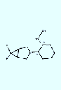 CC(C)N[C@@H]1CCCC[C@H]1N1CC2C(C1)C2(F)F